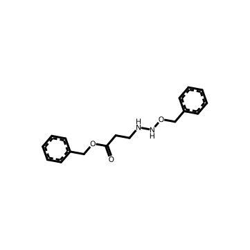 O=C(CCNNOCc1ccccc1)OCc1ccccc1